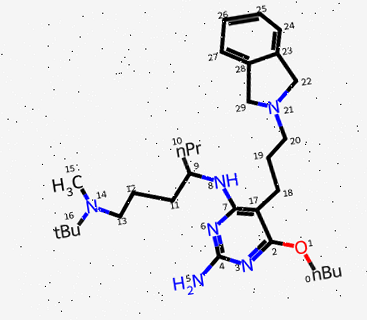 CCCCOc1nc(N)nc(NC(CCC)CCCN(C)C(C)(C)C)c1CCCN1Cc2ccccc2C1